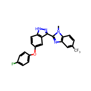 Cn1c(-c2n[nH]c3ccc(Oc4ccc(F)cc4)cc23)nc2cc(C(F)(F)F)ccc21